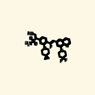 NS(=O)(=O)C(=CO)c1ccc(/C(F)=C/c2cc(N3CCC(F)(F)CC3)c3ncccc3c2)c(N2CCC3(CC2)CC3)c1